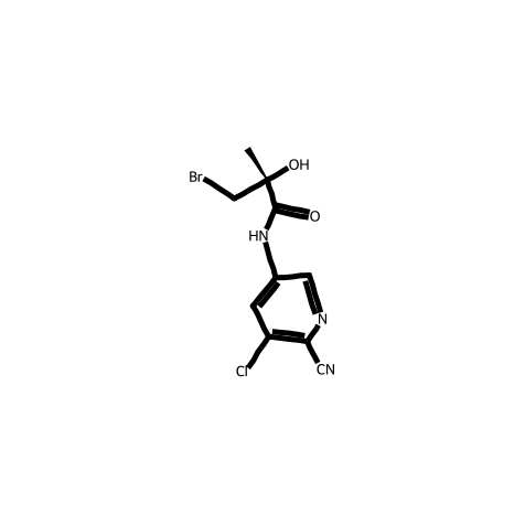 C[C@](O)(CBr)C(=O)Nc1cnc(C#N)c(Cl)c1